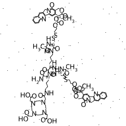 CC[C@]1(OC(=O)OCCSSC[C@@H](NC(C)=O)C(=O)N[C@@H](CCCCNC(=O)[C@@H](CSSCCOC(=O)O[C@]2(CC)C(=O)OCc3c2cc2n(c3=O)Cc3cc4ccccc4nc3-2)NC(C)=O)C(=O)N[C@H](CCCCNC(=O)CN2CCN(CC(=O)O)CCN(CC(=O)O)CCN(CC(=O)O)CC2)C(N)=O)C(=O)OCc2c1cc1n(c2=O)Cc2cc3ccccc3nc2-1